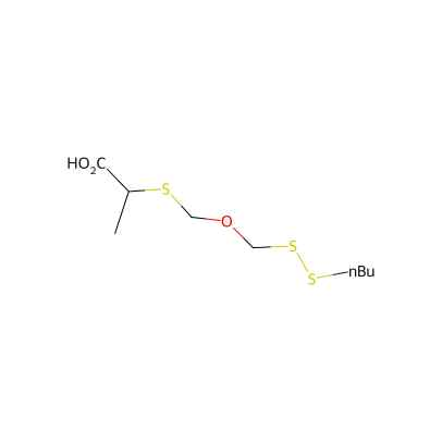 CCCCSSCOCSC(C)C(=O)O